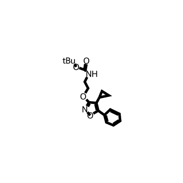 CC(C)(C)OC(=O)NCCOc1noc(-c2ccccc2)c1C1CC1